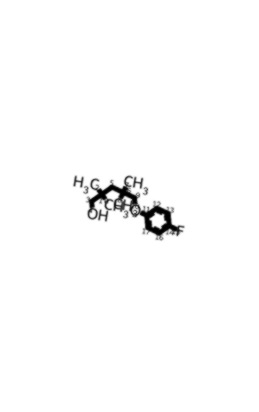 CC(C)(CO)CC(C)(C)COc1ccc(F)cc1